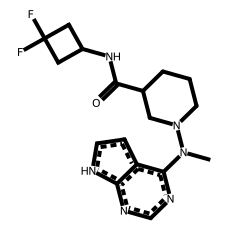 CN(c1ncnc2[nH]ccc12)N1CCCC(C(=O)NC2CC(F)(F)C2)C1